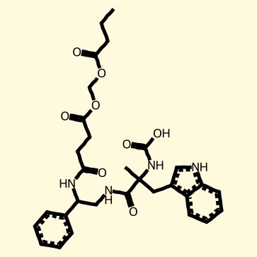 CCCC(=O)OCOC(=O)CCC(=O)NC(CNC(=O)C(C)(Cc1c[nH]c2ccccc12)NC(=O)O)c1ccccc1